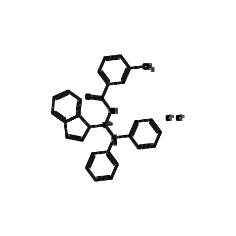 Cc1cccc(C(=O)[NH][Ti+2]([CH]2C=Cc3ccccc32)[SiH](c2ccccc2)c2ccccc2)c1.[Cl-].[Cl-]